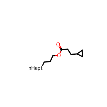 CCCCCCCCCCOC(=O)CCC1CC1